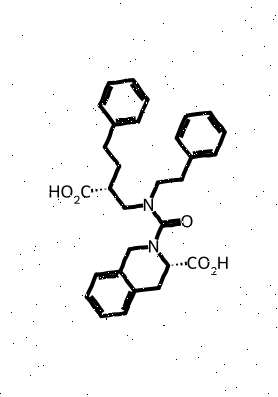 O=C(O)[C@H](CCc1ccccc1)CN(CCc1ccccc1)C(=O)N1Cc2ccccc2C[C@H]1C(=O)O